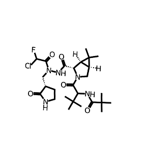 CC(C)(C)C(=O)NC(C(=O)N1C[C@H]2[C@@H]([C@H]1C(=O)NN(C[C@@H]1CCNC1=O)C(=O)C(F)Cl)C2(C)C)C(C)(C)C